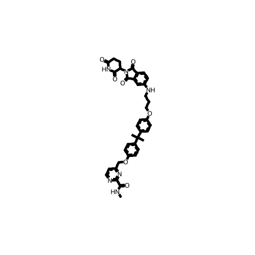 CNC(=O)c1nccc(COc2ccc(C(C)(C)c3ccc(OCCCNc4ccc5c(c4)C(=O)N(C4CCC(=O)NC4=O)C5=O)cc3)cc2)n1